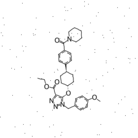 CCOC(=O)c1nnn(Cc2ccc(OC)cc2)c1O[C@H]1CC[C@H](c2ccc(C(=O)N3CCCCC3)cc2)CC1